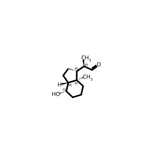 C[C@@H](C=O)[C@H]1CC[C@H]2[C@@H](O)CCC[C@]12C